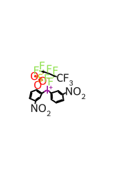 O=S(=O)([O-])C(F)(F)C(F)(F)C(F)(F)C(F)(F)F.O=[N+]([O-])c1cccc([I+]c2cccc([N+](=O)[O-])c2)c1